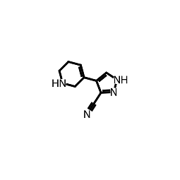 N#Cc1n[nH]cc1C1=CCCNC1